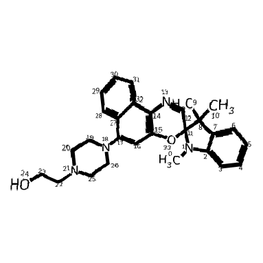 CN1c2ccccc2C(C)(C)C12C=Nc1c(cc(N3CCN(CCO)CC3)c3ccccc13)O2